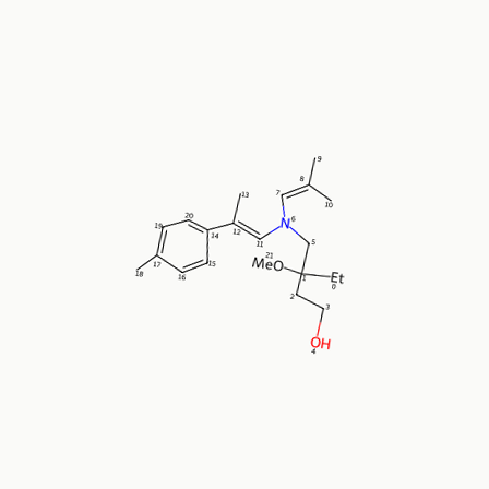 CCC(CCO)(CN(C=C(C)C)/C=C(\C)c1ccc(C)cc1)OC